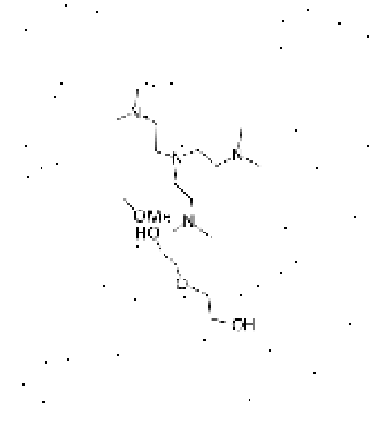 CN(C)CCN(CCN(C)C)CCN(C)C.COC.OCCOCCO